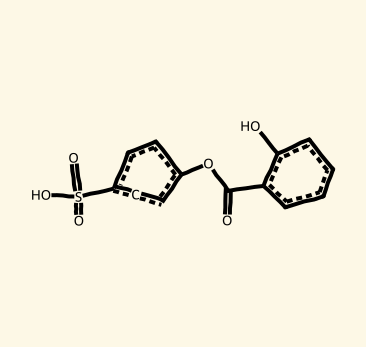 O=C(Oc1ccc(S(=O)(=O)O)cc1)c1ccccc1O